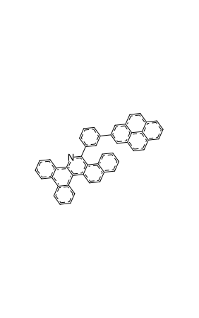 c1cc(-c2cc3ccc4cccc5ccc(c2)c3c45)cc(-c2nc3c4ccccc4c4ccccc4c3c3ccc4ccccc4c23)c1